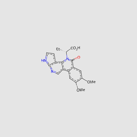 CC[C@H](C(=O)O)n1c(=O)c2cc(OC)c(OC)cc2c2cnc3[nH]ccc3c21